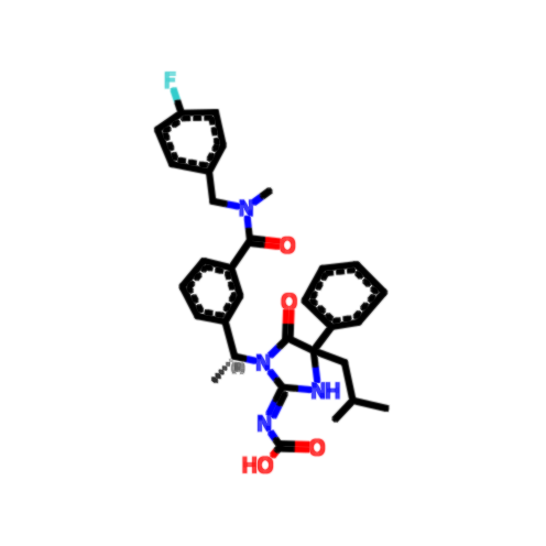 CC(C)CC1(c2ccccc2)NC(=NC(=O)O)N([C@H](C)c2cccc(C(=O)N(C)Cc3ccc(F)cc3)c2)C1=O